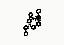 CC1(C)c2ccccc2-c2ccc(N(c3cccc(-c4cccc(-c5ccc(C6CCCCC6)cc5)c4)c3)c3cccc(C4CCCCC4)c3)cc21